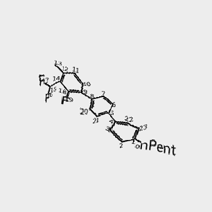 CCCCCc1ccc(-c2ccc(-c3ccc(C)c(C(F)F)c3F)cc2)cc1